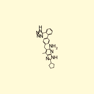 Cc1c(Cc2ccc(-c3ccccc3-c3nnn[nH]3)cc2)c(N)nc2[nH]c(C3CCCC3)nc12